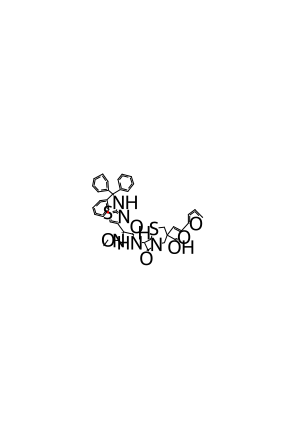 CON=C(C(=O)NC1C(=O)N2CC(C=Cc3ccco3)(C(=O)O)CS[C@H]12)c1csc(NC(c2ccccc2)(c2ccccc2)c2ccccc2)n1